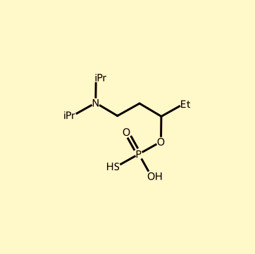 CCC(CCN(C(C)C)C(C)C)OP(=O)(O)S